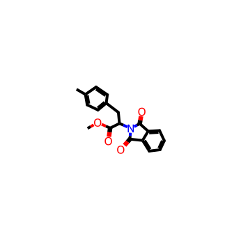 COC(=O)C(Cc1ccc(C)cc1)N1C(=O)c2ccccc2C1=O